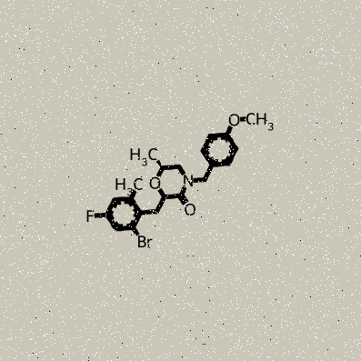 COc1ccc(CN2C[C@H](C)OC(Cc3c(C)cc(F)cc3Br)C2=O)cc1